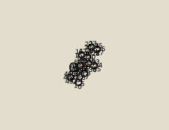 c1ccc2c(c1)-c1ccc(-c3cc4c5ccccc5c(-c5cccc6ccccc56)cc4c4ccccc34)cc1C21c2ccccc2-c2oc3ccccc3c21